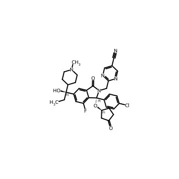 CC[C@@](O)(c1cc(F)c2c(c1)C(=O)N(Cc1ncc(C#N)cn1)[C@@]2(O[C@H]1CCC(=O)C1)c1ccc(Cl)cc1)C1CCN(C)CC1